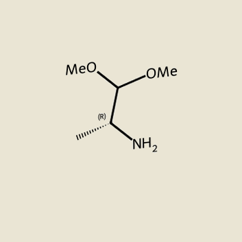 COC(OC)[C@@H](C)N